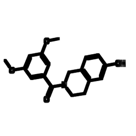 COc1cc(OC)cc(C(=O)N2CCc3cc(O)ccc3C2)c1